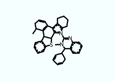 CC1CC=CC2=C1C1c3ccccc3SC1c1c2c2c(n1C1=Nc3ccccc3C(C3C=CC=CC3)N1C)CCCC2